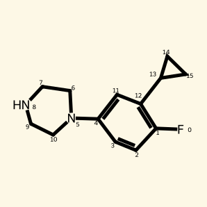 Fc1ccc(N2CCNCC2)cc1C1CC1